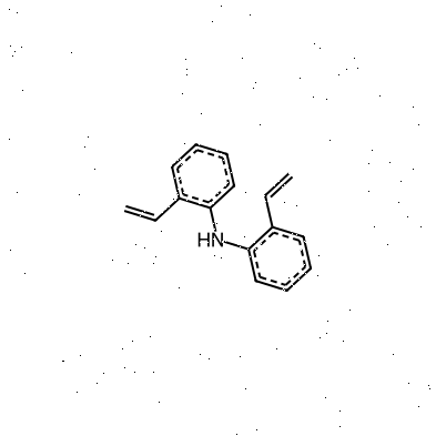 C=Cc1ccccc1Nc1ccccc1C=C